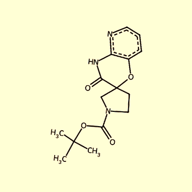 CC(C)(C)OC(=O)N1CCC2(C1)Oc1cccnc1NC2=O